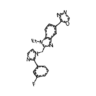 CCn1c(Cn2ccnc2-c2cccc(F)c2)nc2cc(-c3nnco3)ccc21